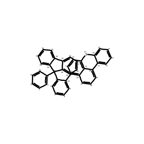 c1ccc(C2(c3ccccc3-c3ccc4c5c(cccc35)-c3ccccc3S4)c3ccccc3-c3ccccc32)cc1